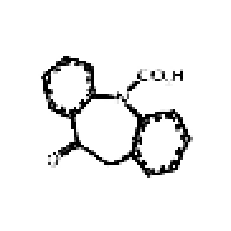 O=C1Cc2ccccc2N(C(=O)O)c2ccccc21